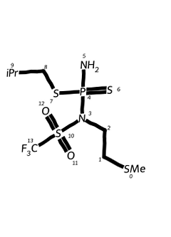 CSCCN(P(N)(=S)SCC(C)C)S(=O)(=O)C(F)(F)F